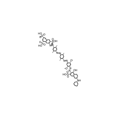 COc1cc(N=Nc2c(S(=O)(=O)O)cc3cc(Nc4ccccc4)ccc3c2O)c(OC)cc1N=Nc1cc(C)c(N=Nc2cc(C)c(N=Nc3cc4c(S(=O)(=O)O)cc(S(=O)(=O)O)cc4cc3S(=O)(=O)O)cc2C)cc1C